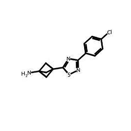 NC12CC(c3nc(-c4ccc(Cl)cc4)ns3)(C1)C2